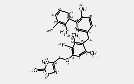 Cc1cc(OCc2noc(=O)[nH]2)c(F)c(C)c1Cc1ccc(O)c(-c2cccc(F)c2C)n1